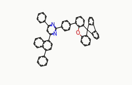 c1ccc(-c2cc(-c3ccc(-c4ccccc4)c4ccccc34)nc(-c3ccc(-c4cccc5c4Oc4ccccc4C54c5ccccc5-c5ccccc54)cc3)n2)cc1